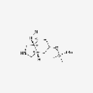 CC(C)(C)[Si](C)(C)OC1C[C@@H]2CNC[C@@H]2[C@H](N)C1